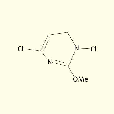 COC1=NC(Cl)=CCN1Cl